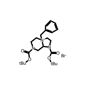 CC(C)(C)OC(=O)N1CC[N+]2(Cc3ccccc3)CCN(C(=O)OC(C)(C)C)C2C1.[Br-]